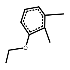 CCOc1cccc(C)c1C